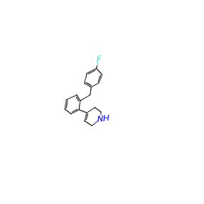 Fc1ccc(Cc2ccccc2C2=CCNCC2)cc1